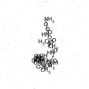 CSSC(C)c1cc(NC(=O)COCCOCCN)ccc1C(=O)OCCCCC(=O)NCC#Cc1cn([C@H]2C[C@@H](OC(=O)c3ccccc3C(C)SSC)C(COP(=O)(O)OP(=O)(O)OP(=O)(O)O)O2)c(=O)[nH]c1=O